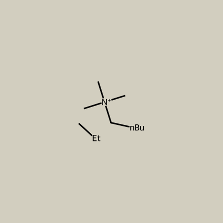 CCC.CCCCC[N+](C)(C)C